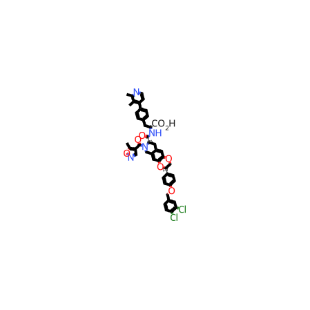 Cc1nccc(-c2ccc(CC(NC(=O)[C@@H]3Cc4cc5c(cc4CN3C(=O)c3cnoc3C)O[C@@H](c3ccc(OCc4ccc(Cl)c(Cl)c4)cc3)CO5)C(=O)O)cc2)c1C